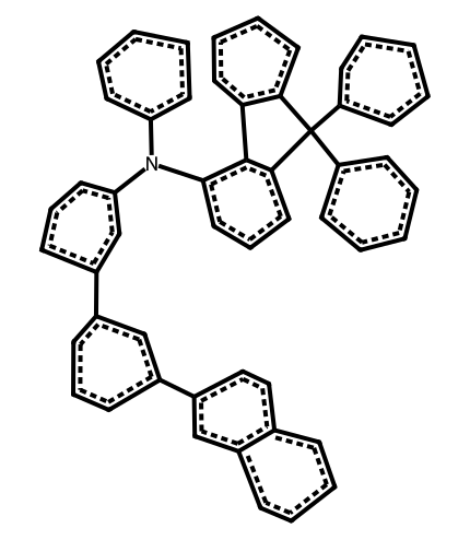 c1ccc(N(c2cccc(-c3cccc(-c4ccc5ccccc5c4)c3)c2)c2cccc3c2-c2ccccc2C3(c2ccccc2)c2ccccc2)cc1